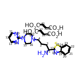 NC(CCCN1CCN(c2ncccn2)CC1)c1nc2ccccc2s1.O=C(O)/C=C/C(=O)O.O=C(O)/C=C/C(=O)O